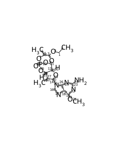 CCOC(=O)[C@H](C)O[P@@]1(=O)OC[C@H]2O[C@@H](n3cnc4c(OC)nc(N)nc43)[C@@H](C)[C@@H]2O1